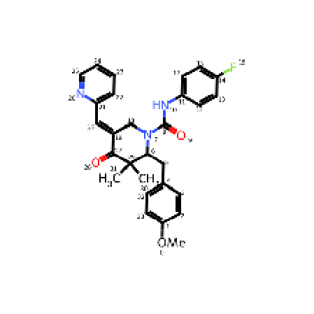 COc1ccc(CC2N(C(=O)Nc3ccc(F)cc3)CC(=Cc3ccccn3)C(=O)C2(C)C)cc1